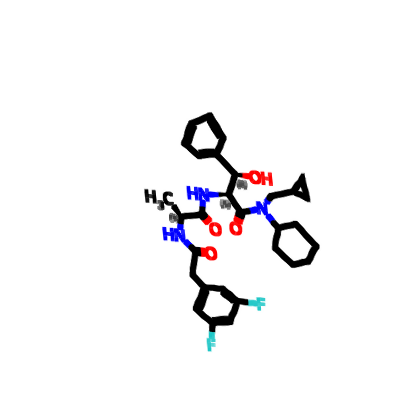 C[C@H](NC(=O)Cc1cc(F)cc(F)c1)C(=O)N[C@H](C(=O)N(CC1CC1)C1CCCCC1)[C@H](O)c1ccccc1